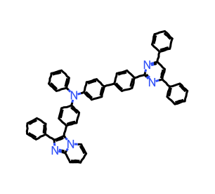 c1ccc(-c2cc(-c3ccccc3)nc(-c3ccc(-c4ccc(N(c5ccccc5)c5ccc(-c6c(-c7ccccc7)nc7ccccn67)cc5)cc4)cc3)n2)cc1